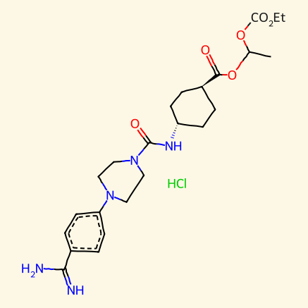 CCOC(=O)OC(C)OC(=O)[C@H]1CC[C@H](NC(=O)N2CCN(c3ccc(C(=N)N)cc3)CC2)CC1.Cl